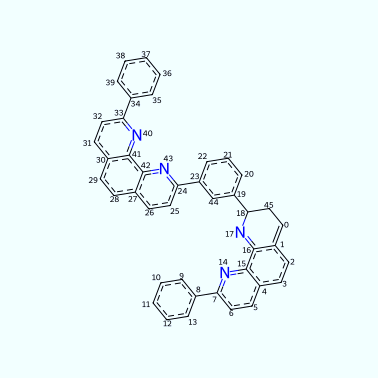 C1=c2ccc3ccc(-c4ccccc4)nc3c2=NC(c2cccc(-c3ccc4ccc5ccc(-c6ccccc6)nc5c4n3)c2)C1